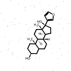 C[C@]12CC[C@H](O)CC1CC[C@@H]1[C@@H]2CC[C@@]2(C)[C@H]1CC[C@@]2(O)c1ccoc1